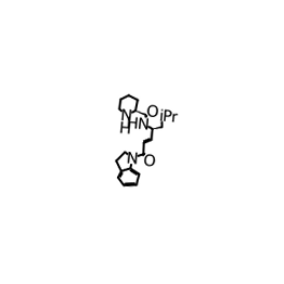 CC(C)C[C@@H](C=CC(=O)N1CCc2ccccc21)NC(=O)[C@@H]1CCCCN1